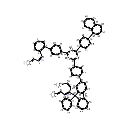 C=C/C=C\c1ccccc1-c1ccc(-c2nc(-c3ccc(-c4ccc5c(c4)C(C(/C=C\C)=C/C=C)(c4ccccc4)c4ccccc4-5)cc3)nc(-c3ccc(-c4cccc5ccccc45)cc3)n2)cc1